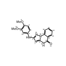 COc1ccc(Nc2nc3[nH]c(=O)c4ccccc4n3n2)cc1OC